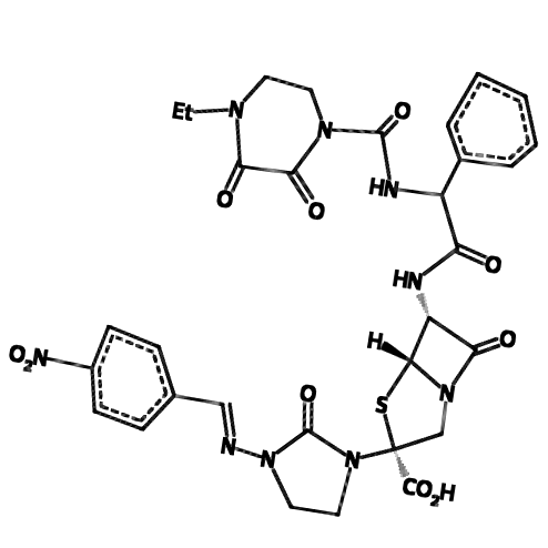 CCN1CCN(C(=O)NC(C(=O)N[C@@H]2C(=O)N3C[C@@](C(=O)O)(N4CCN(N=Cc5ccc([N+](=O)[O-])cc5)C4=O)S[C@H]23)c2ccccc2)C(=O)C1=O